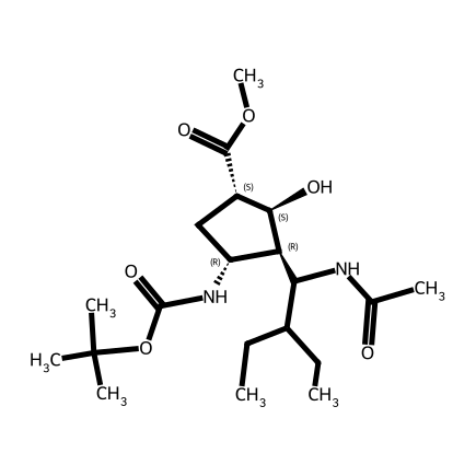 CCC(CC)C(NC(C)=O)[C@@H]1[C@H](O)[C@@H](C(=O)OC)C[C@H]1NC(=O)OC(C)(C)C